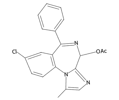 CC(=O)OC1N=C(c2ccccc2)c2cc(Cl)ccc2-n2c(C)cnc21